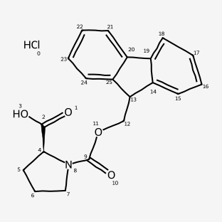 Cl.O=C(O)[C@@H]1CCCN1C(=O)OCC1c2ccccc2-c2ccccc21